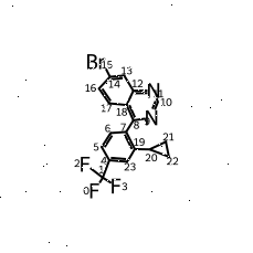 FC(F)(F)c1ccc(-c2ncnc3cc(Br)ccc23)c(C2CC2)c1